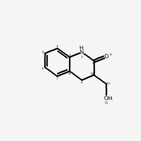 O=C1Nc2c[c]ccc2CC1CO